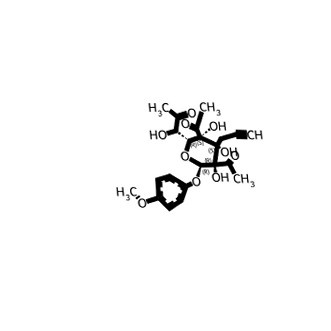 C#CC[C@@]1(O)[C@](O)(C(C)=O)[C@@H](Oc2ccc(OC)cc2)O[C@H](C(O)C(C)=O)[C@@]1(O)C(C)=O